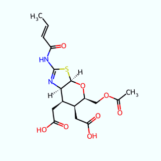 C/C=C/C(=O)NC1=N[C@@H]2[C@H](CC(=O)O)[C@H](CC(=O)O)[C@H](COC(C)=O)O[C@@H]2S1